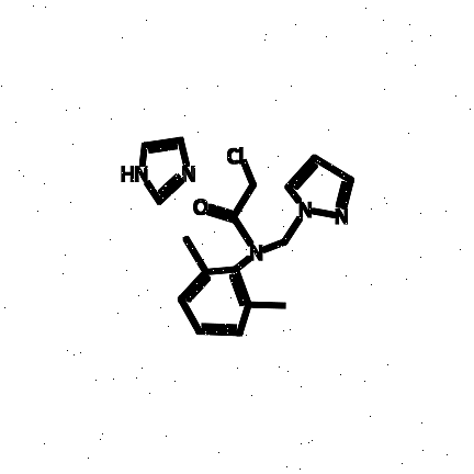 Cc1cccc(C)c1N(Cn1cccn1)C(=O)CCl.c1c[nH]cn1